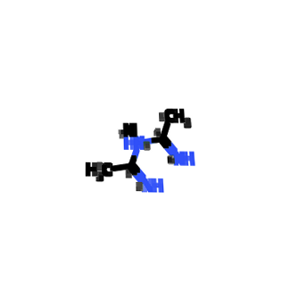 CC(=N)NC(C)=N.[Ni]